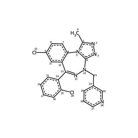 Cc1nnc2n1-c1ccc(Cl)cc1C(c1ccccc1Cl)=NN2Cc1cccnc1